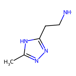 Cc1nnc(CC[NH])[nH]1